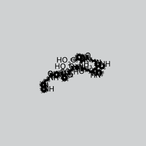 CC1CN(C(=O)NCCCc2cc(-c3cc(CCCCC(=O)NC4CN(C(CCC(=O)Nc5ccccc5C(C(=O)O)N5CCC(C(=O)NCCCc6ccc7c(n6)NCCC7)CC5)C(=O)O)C4)nc4c3CCCN4)c3c(n2)NCCC3)CC2CCC(CC(=O)O)C1C2